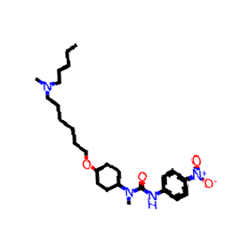 CCCCCN(C)CCCCCCOC1CCC(N(C)C(=O)Nc2ccc([N+](=O)[O-])cc2)CC1